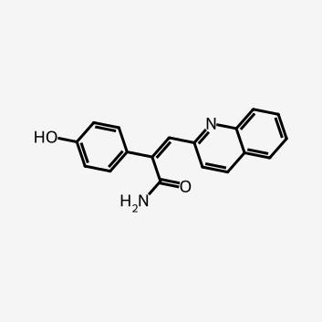 NC(=O)/C(=C\c1ccc2ccccc2n1)c1ccc(O)cc1